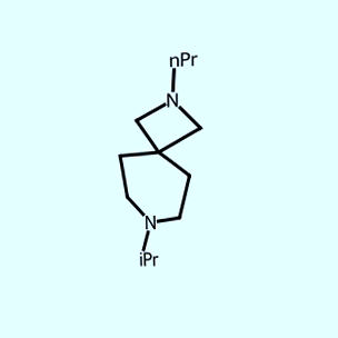 CCCN1CC2(CCN(C(C)C)CC2)C1